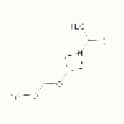 COCOC1CN(C(C)C)C1